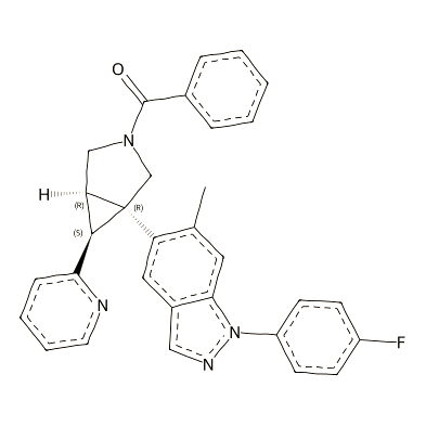 Cc1cc2c(cnn2-c2ccc(F)cc2)cc1[C@@]12CN(C(=O)c3ccccc3)C[C@@H]1[C@@H]2c1ccccn1